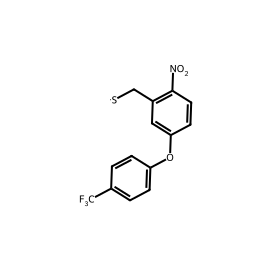 O=[N+]([O-])c1ccc(Oc2ccc(C(F)(F)F)cc2)cc1C[S]